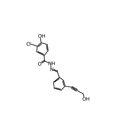 O=C(N/N=C/c1cccc(C#CCO)c1)c1ccc(O)c(Cl)c1